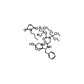 CC(C)(C)OC(=O)N(CC(=O)N[C@@H](Cc1ccccc1)C(=O)N[C@@H](CCCCN1C(=O)C=CC1=O)C(=O)O)C(C)(C)C